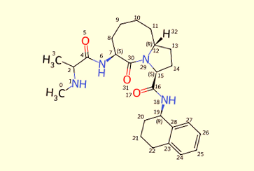 CNC(C)C(=O)N[C@H]1CCCC[C@@H]2CC[C@@H](C(=O)N[C@@H]3CCCc4ccccc43)N2C1=O